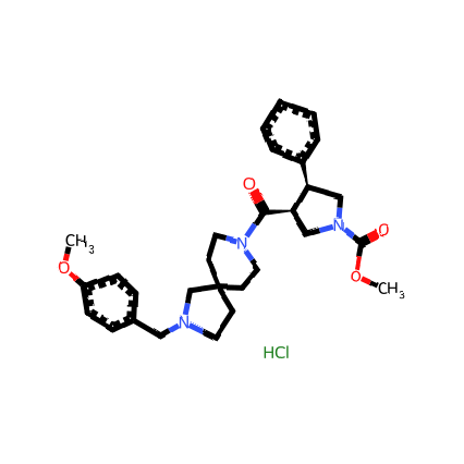 COC(=O)N1C[C@H](c2ccccc2)[C@H](C(=O)N2CCC3(CCN(Cc4ccc(OC)cc4)C3)CC2)C1.Cl